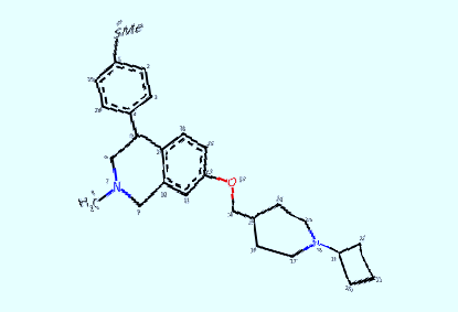 CSc1ccc(C2CN(C)Cc3cc(OCC4CCN(C5CCC5)CC4)ccc32)cc1